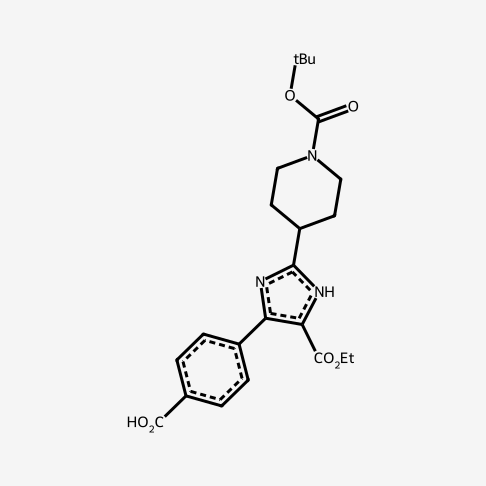 CCOC(=O)c1[nH]c(C2CCN(C(=O)OC(C)(C)C)CC2)nc1-c1ccc(C(=O)O)cc1